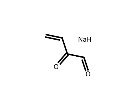 C=CC(=O)C=O.[NaH]